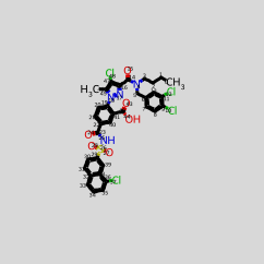 CCCCN(Cc1ccc(Cl)c(Cl)c1)C(=O)c1nn(-c2ccc(C(=O)NS(=O)(=O)c3ccc4cccc(Cl)c4c3)cc2C(=O)O)c(C)c1Cl